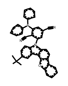 CC(C)(C)c1ccc2c(c1)c1c3oc4ccccc4c3ccc1n2-c1cc(C#N)cc(N(c2ccccc2)c2ccccc2)c1C#N